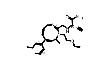 C#C[C@H](NC/C1=N/C/C=C\C(C(/C=C\C)=C/CC)=CC(C)N1CCOCC)C(N)=O